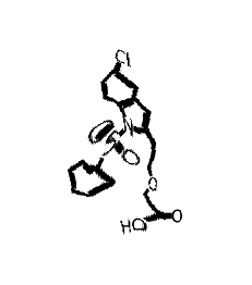 O=C(O)COCCc1cc2cc(Cl)ccc2n1S(=O)(=O)c1ccccc1